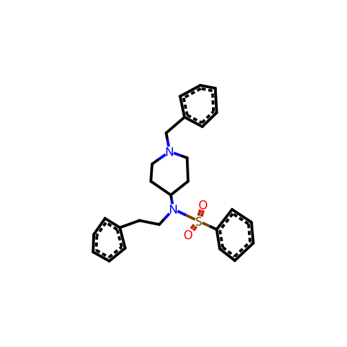 O=S(=O)(c1ccccc1)N(CCc1ccccc1)C1CCN(Cc2ccccc2)CC1